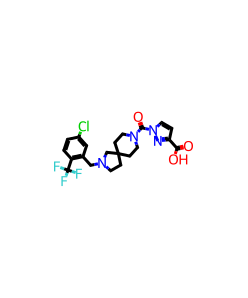 O=C(O)c1ccn(C(=O)N2CCC3(CCN(Cc4cc(Cl)ccc4C(F)(F)F)C3)CC2)n1